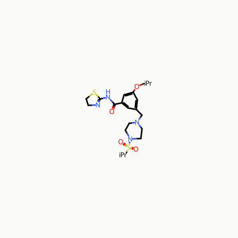 CC(C)Oc1cc(CN2CCN(S(=O)(=O)C(C)C)CC2)cc(C(=O)NC2=NCCS2)c1